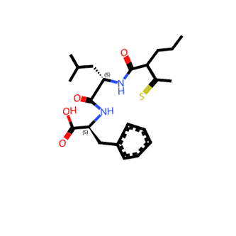 CCCC(C(=O)N[C@@H](CC(C)C)C(=O)N[C@@H](Cc1ccccc1)C(=O)O)C(C)=S